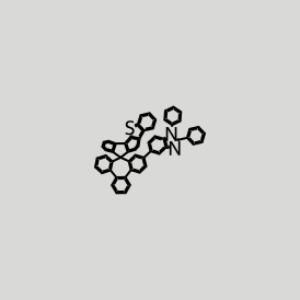 c1ccc(-c2nc3cc(-c4ccc5c(c4)C4(c6ccccc6-c6ccccc6-5)c5ccccc5-c5c4ccc4c5sc5ccccc54)ccc3n2-c2ccccc2)cc1